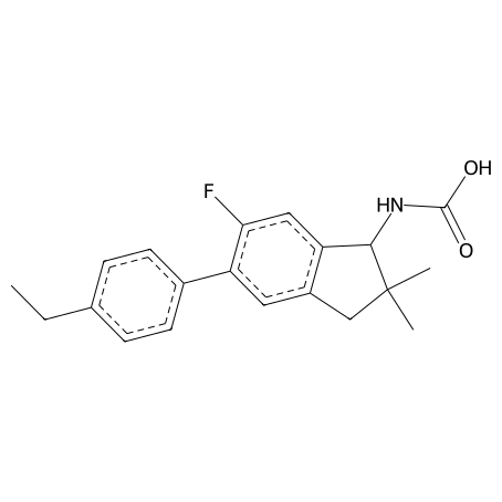 CCc1ccc(-c2cc3c(cc2F)C(NC(=O)O)C(C)(C)C3)cc1